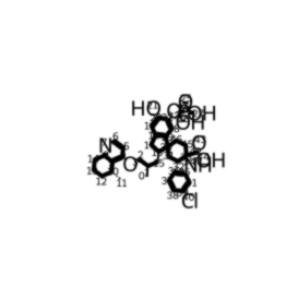 C[C@@H](COc1ccnc2c1[C@H](C)CCC2)C[C@H]1Cc2cc(O)c(OP(=O)(O)O)cc2C12CCC(Nc1cccc(Cl)c1)(C(=O)O)CC2